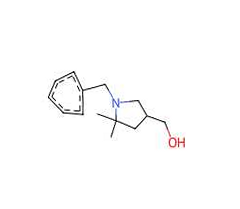 CC1(C)CC(CO)CN1Cc1ccccc1